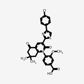 COc1cc(C(=O)O)ccc1-n1c2c(cc(-c3nc(-c4ccc(Cl)cc4)cs3)c1=O)C(=O)CC(C)(C)C2